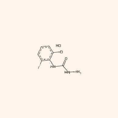 Cc1cccc(Cl)c1NC(=O)NN.Cl